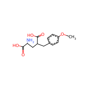 COc1ccc(CC(C[C@@H](N)C(=O)O)C(=O)O)cc1